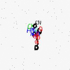 N#Cc1ccc(Nc2ncnc(OC3C4COCC3CN(C(=O)OCCOCc3ccccc3)C4)c2F)c(Cl)c1